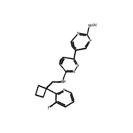 CC(=O)Nc1ncc(-c2ccc(NCC3(c4ncccc4F)CCC3)nn2)cn1